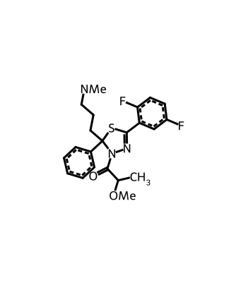 CNCCCC1(c2ccccc2)SC(c2cc(F)ccc2F)=NN1C(=O)C(C)OC